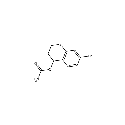 NC(=O)OC1CCSc2cc(Br)ccc21